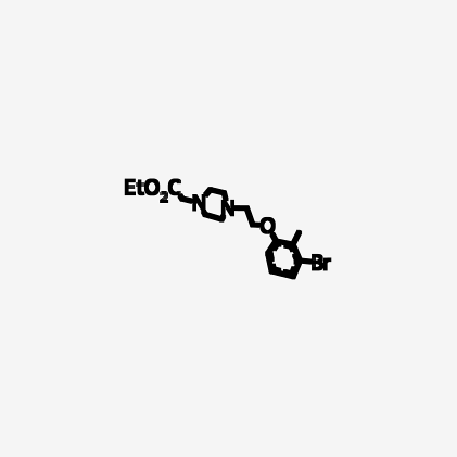 CCOC(=O)CN1CCN(CCOc2cccc(Br)c2C)CC1